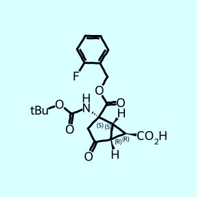 CC(C)(C)OC(=O)N[C@@]1(C(=O)OCc2ccccc2F)CC(=O)[C@H]2[C@H](C(=O)O)[C@H]21